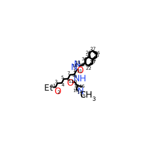 CCC(=O)CCCCCC(NC(=O)C1CN(C)C1)c1nnc(-c2ccc3ccccc3c2)o1